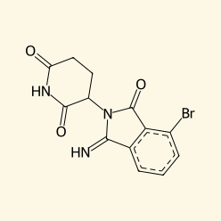 N=C1c2cccc(Br)c2C(=O)N1C1CCC(=O)NC1=O